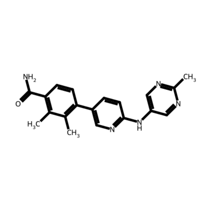 Cc1ncc(Nc2ccc(-c3ccc(C(N)=O)c(C)c3C)cn2)cn1